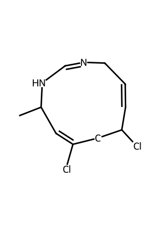 CC1/C=C(/Cl)CC(Cl)C=CC/N=C\N1